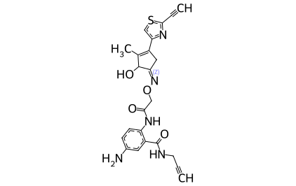 C#CCNC(=O)c1cc(N)ccc1NC(=O)CO/N=C1/CC(c2csc(C#C)n2)=C(C)C1O